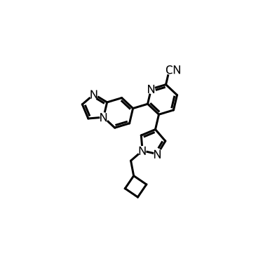 N#Cc1ccc(-c2cnn(CC3CCC3)c2)c(-c2ccn3ccnc3c2)n1